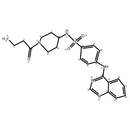 CCCC(=O)N1CCC(NS(=O)(=O)c2ccc(Nc3ncnc4ccccc34)cc2)CC1